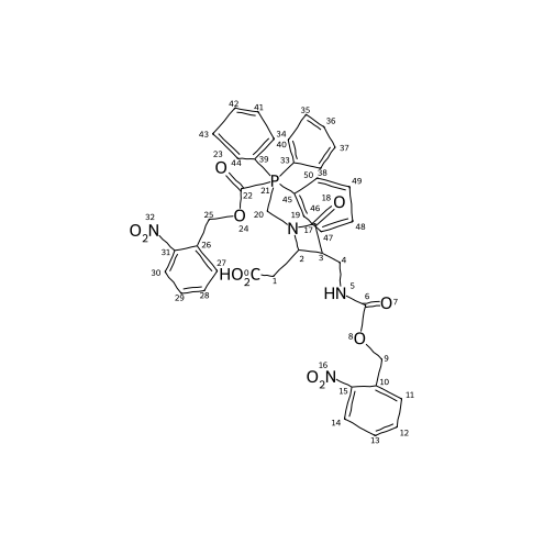 O=C(O)CC1C(CNC(=O)OCc2ccccc2[N+](=O)[O-])C(=O)N1CP(C(=O)OCc1ccccc1[N+](=O)[O-])(c1ccccc1)(c1ccccc1)c1ccccc1